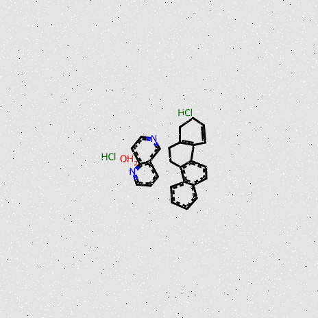 C1=CC2=C(CC1)CCc1c2ccc2ccccc12.Cl.Cl.O.c1cnc2ccncc2c1